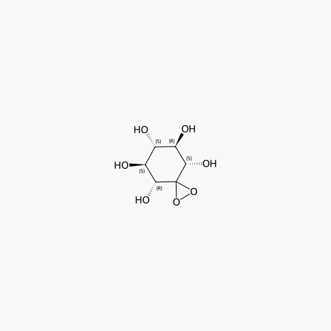 O[C@@H]1[C@@H](O)[C@H](O)C2(OO2)[C@H](O)[C@H]1O